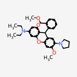 CCN(CC)c1ccc2c(c1)Oc1cc(OC)c(N3CCCC3)cc1C2c1ccccc1C(=O)OC